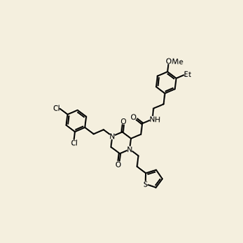 CCc1cc(CCNC(=O)CC2C(=O)N(CCc3ccc(Cl)cc3Cl)CC(=O)N2CCc2cccs2)ccc1OC